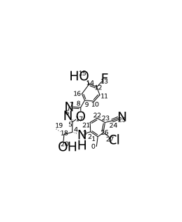 Cc1c(N[C@@H](c2nnc(-c3ccc(F)c(O)c3)o2)[C@@H](C)O)ccc(C#N)c1Cl